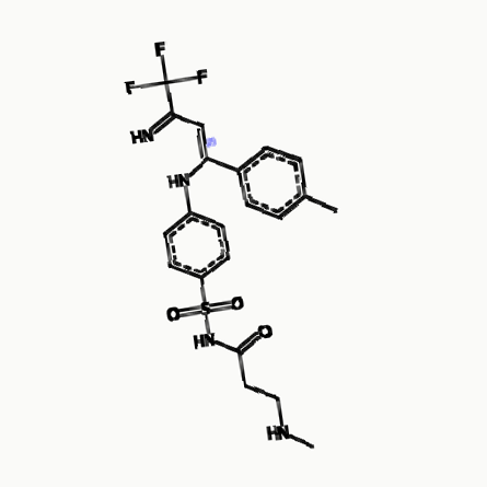 CNCCC(=O)NS(=O)(=O)c1ccc(N/C(=C\C(=N)C(F)(F)F)c2ccc(C)cc2)cc1